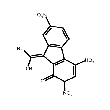 N#CC(C#N)=C1C2=C(C([N+](=O)[O-])=CC([N+](=O)[O-])C2=O)c2ccc([N+](=O)[O-])cc21